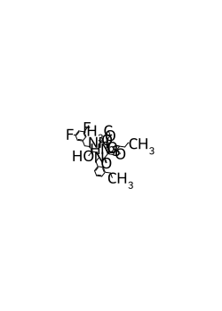 CCCCS(=O)(=O)C[C@H](NCOOC)C(=O)N(Cc1cccc(CC)c1)C[C@@H](O)[C@@H](N)Cc1cc(F)cc(F)c1